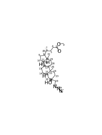 COC(=O)CC[C@@H](C)C1CC[C@H]2[C@@H]3CC[C@@H]4C[C@](O)(CN=[N+]=[N-])CCC4(C)C3CCC12C